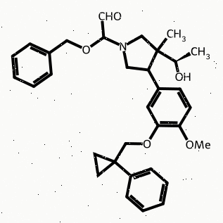 COc1ccc(C2CN(C(C=O)OCc3ccccc3)CC2(C)[C@@H](C)O)cc1OCC1(c2ccccc2)CC1